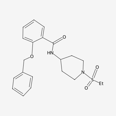 CCS(=O)(=O)N1CCC(NC(=O)c2ccccc2OCc2ccccc2)CC1